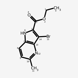 CCOC(=O)c1[nH]c2ccc(C)nc2c1Br